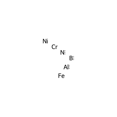 [Al].[B].[Cr].[Fe].[N].[Ni]